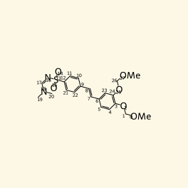 COCOc1ccc(/C=C/c2ccc(S(=O)(=O)/N=C\N(C)C)cc2)cc1OCOC